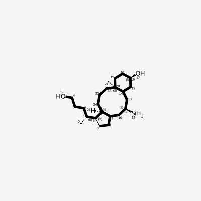 C[C@H](CCCO)[C@H]1CCC2C[C@H]([SiH3])CC3C[C@H](O)CC[C@]3(C)CCC[C@@H]21